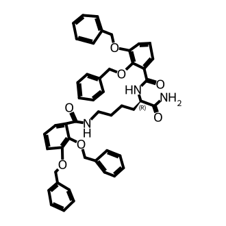 NC(=O)[C@@H](CCCCNC(=O)c1cccc(OCc2ccccc2)c1OCc1ccccc1)NC(=O)c1cccc(OCc2ccccc2)c1OCc1ccccc1